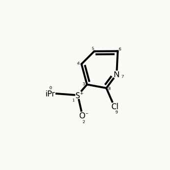 CC(C)[S+]([O-])c1cccnc1Cl